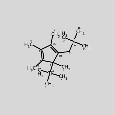 CC1=C(C)[C](C)([Ti]([CH3])([CH3])[CH3])C(C[Si](C)(C)C)=C1C